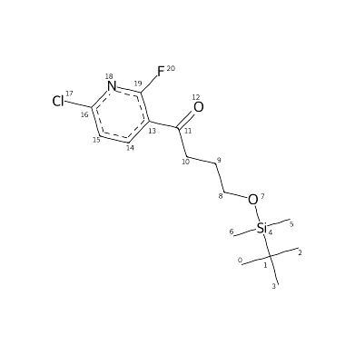 CC(C)(C)[Si](C)(C)OCCCC(=O)c1ccc(Cl)nc1F